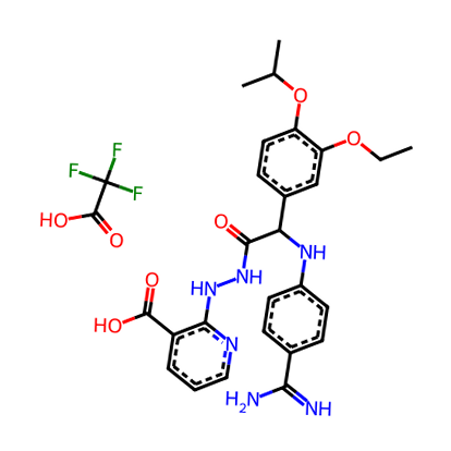 CCOc1cc(C(Nc2ccc(C(=N)N)cc2)C(=O)NNc2ncccc2C(=O)O)ccc1OC(C)C.O=C(O)C(F)(F)F